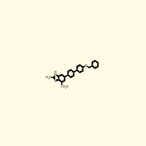 Cc1nc2c(C(=O)O)cc(-c3ccc(-c4ccc(OCc5ccccc5)cc4)cc3)cc2[nH]1